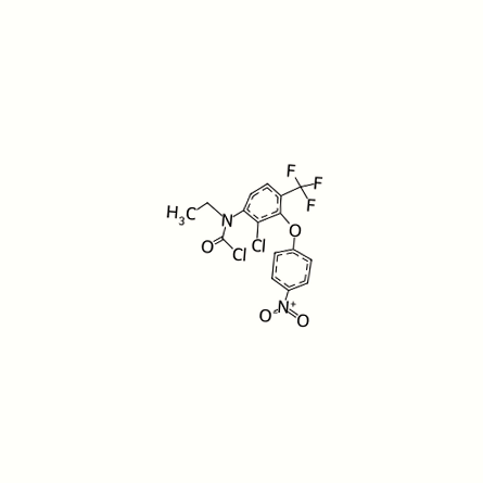 CCN(C(=O)Cl)c1ccc(C(F)(F)F)c(Oc2ccc([N+](=O)[O-])cc2)c1Cl